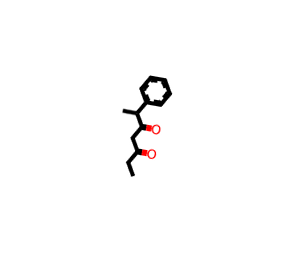 CCC(=O)CC(=O)C(C)c1ccccc1